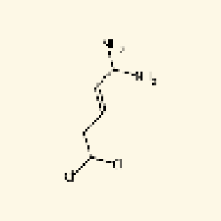 NC(N)C=CCC(Cl)Cl